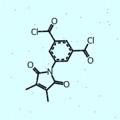 CC1=C(C)C(=O)N(c2cc(C(=O)Cl)cc(C(=O)Cl)c2)C1=O